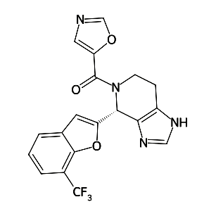 O=C(c1cnco1)N1CCc2[nH]cnc2[C@@H]1c1cc2cccc(C(F)(F)F)c2o1